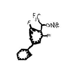 COC(c1c(F)cc(-c2ccccc2)cc1F)C(F)(F)F